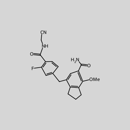 COc1c(C(N)=O)cc(Cc2ccc(C(=O)NCC#N)c(F)c2)c2c1CCC2